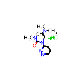 CN(C)CCN(C(=O)N(C)C)c1cccnn1.Cl.Cl